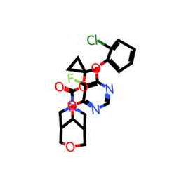 CC1(OC(=O)N2CC3COCC(C2)C3Oc2ncnc(Oc3ccccc3Cl)c2F)CC1